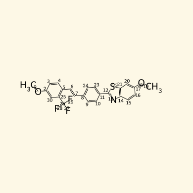 COc1ccc(C=Cc2ccc(-c3nc4ccc(OC)cc4s3)cc2)c(C(F)(F)F)c1